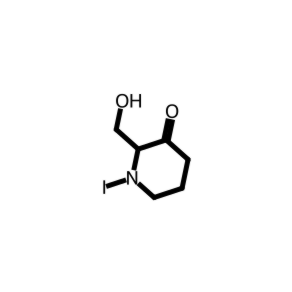 O=C1CCCN(I)C1CO